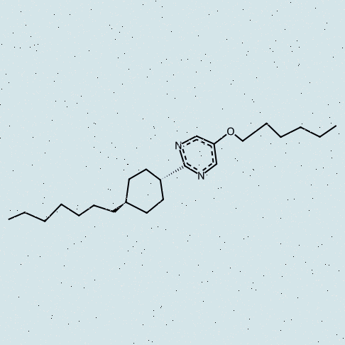 CCCCCCC[C@H]1CC[C@H](c2ncc(OCCCCCC)cn2)CC1